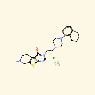 CN1CCc2c(sc3ncn(CCN4CCN(c5cccc6c5CCCC6)CC4)c(=O)c23)C1.Cl.Cl.Cl